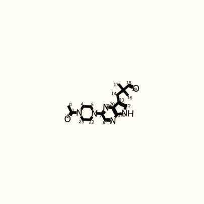 CC(=O)N1CCN(c2cnc3[nH]cc(CC(C)(C)C=O)c3n2)CC1